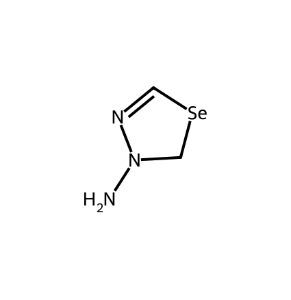 NN1C[Se]C=N1